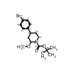 COC1CC(c2ccc(Br)cc2)CCN1C(=O)OC(C)(C)C